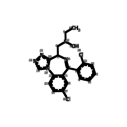 CCN(O)CC1N=C(c2ccccc2Cl)c2cc(Cl)ccc2-n2cnnc21